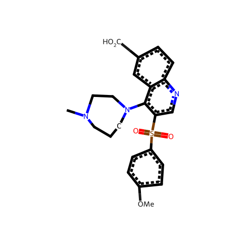 COc1ccc(S(=O)(=O)c2cnc3ccc(C(=O)O)cc3c2N2CCCN(C)CC2)cc1